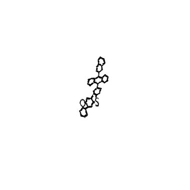 c1ccc2cc(-c3c4ccccc4c(-c4ccc5sc6cc7c(cc6c5c4)oc4ccccc47)c4ccccc34)ccc2c1